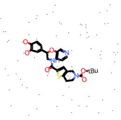 CC(C)(C)OC(=O)N1CCc2sc(C(=O)NCC(Oc3cccnc3)c3ccc([O])c([O])c3)cc2C1